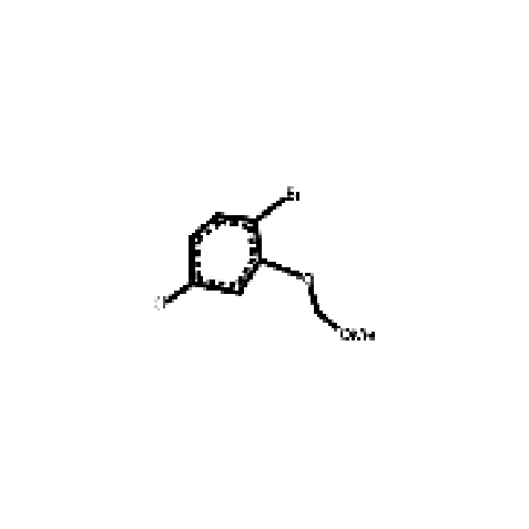 COCOc1cc(Cl)ccc1Br